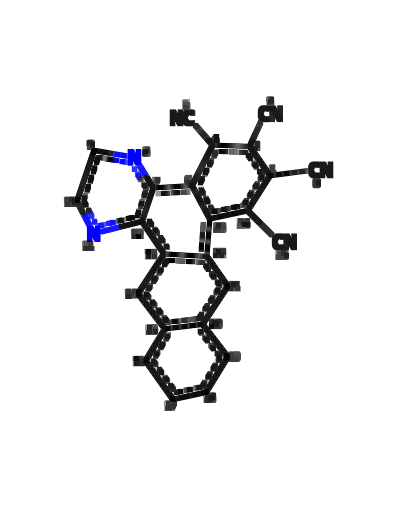 N#Cc1c(C#N)c(C#N)c2c3nccnc3c3cc4ccccc4cc3c2c1C#N